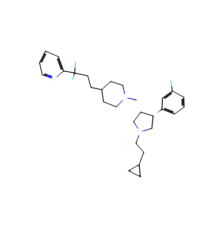 O=C(O)[C@@H](CC1CC1)N1C[C@H](CN2CCC(CCC(F)(F)c3ccccn3)CC2)[C@@H](c2cccc(F)c2)C1